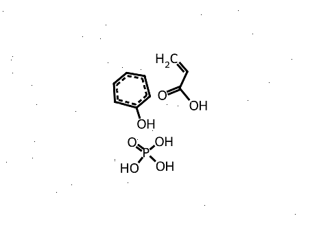 C=CC(=O)O.O=P(O)(O)O.Oc1ccccc1